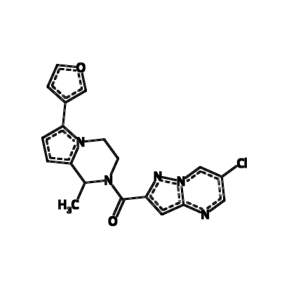 CC1c2ccc(-c3ccoc3)n2CCN1C(=O)c1cc2ncc(Cl)cn2n1